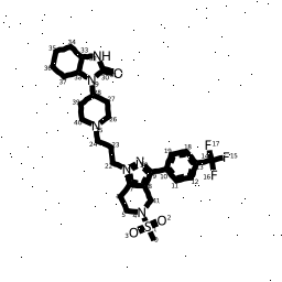 CS(=O)(=O)N1CCc2c(c(-c3ccc(C(F)(F)F)cc3)nn2CCCN2CCC(N3C(=O)NC4CCCCC43)CC2)C1